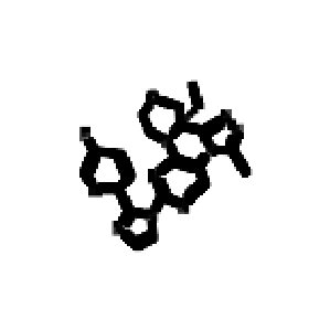 CC[C@@]12COCCN1c1nc(-n3ccnc3-c3ccc(F)cn3)ncc1-n1c(C)nnc12